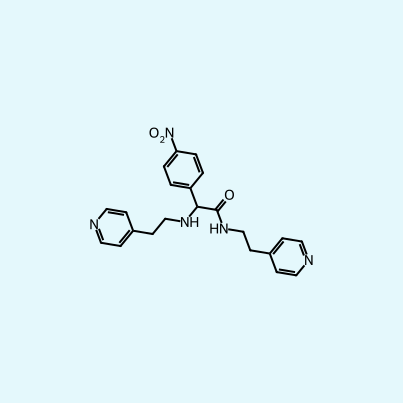 O=C(NCCc1ccncc1)C(NCCc1ccncc1)c1ccc([N+](=O)[O-])cc1